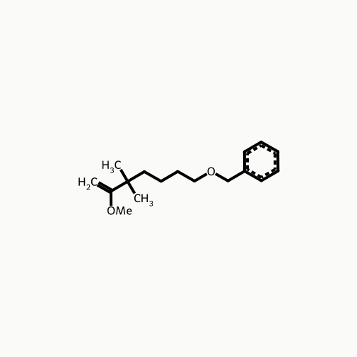 C=C(OC)C(C)(C)CCCCOCc1ccccc1